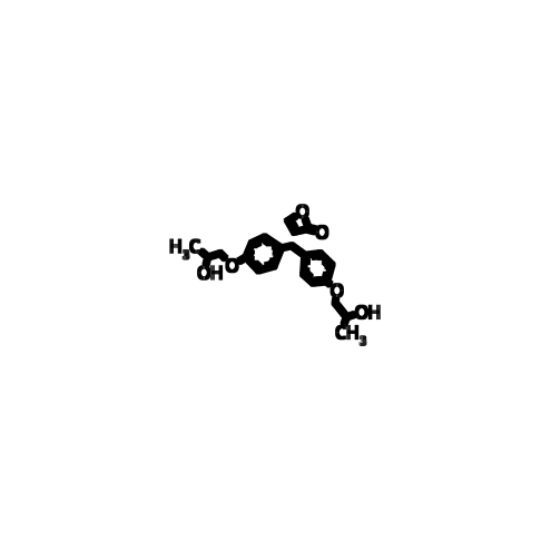 CC(O)COc1ccc(Cc2ccc(OCC(C)O)cc2)cc1.O=C1C=CO1